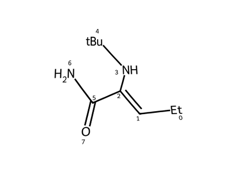 CCC=C(NC(C)(C)C)C(N)=O